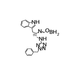 BOC=N[C@H](CNc1nnn(Cc2ccccc2)n1)Cc1c[nH]c2ccccc12